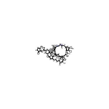 COc1cc2cc(c1Cl)N(C)C(=O)C[C@H](OC(=O)[C@H](C)N(C)C(=O)CCSC1CC(=O)N(CC3CCN(C(=O)ON4C(=O)CCC4=O)CC3)C1=O)[C@@]1(C)CC(C)(O1)C1C[C@@](O)(NC(=O)O1)[C@H](OC)/C=C/C=C(\C)C2